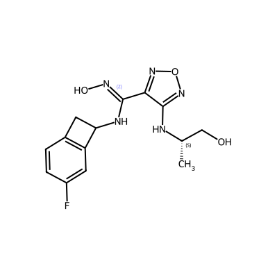 C[C@@H](CO)Nc1nonc1/C(=N/O)NC1Cc2ccc(F)cc21